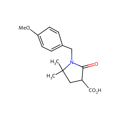 COc1ccc(CN2C(=O)C(C(=O)O)CC2(C)C)cc1